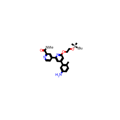 CNC(=O)c1cc(-c2cc(-c3cc(N)ccc3C)cc(OCCO[Si](C)(C)C(C)(C)C)n2)ccn1